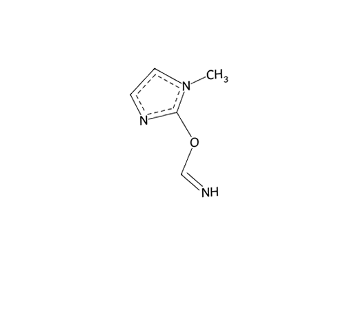 Cn1ccnc1OC=N